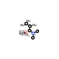 CC(C)(C)c1cc(-c2cc(B3OC(C)(C)C(C)(C)O3)cc(-c3nc(-c4ccccc4)nc(-c4ccccc4)n3)c2)cc(-c2cc(C(C)(C)C)cc(C(C)(C)C)c2)c1